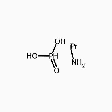 CC(C)N.O=[PH](O)O